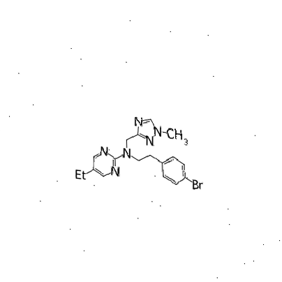 CCc1cnc(N(CCc2ccc(Br)cc2)Cc2ncn(C)n2)nc1